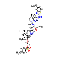 COC(=O)c1nc(N2CCCc3c2nnc(Nc2nc4cc(OC)ccc4s2)c3C)ccc1-c1cnn(CC23CC4(C)CC(C)(C2)CC(OCCOS(=O)(=O)c2ccc(C)cc2)(C4)C3)c1C